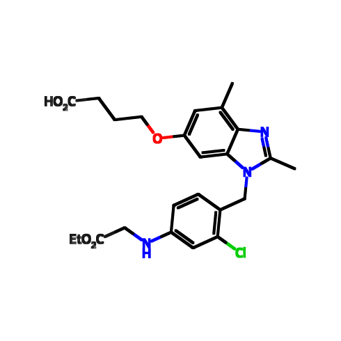 CCOC(=O)CNc1ccc(Cn2c(C)nc3c(C)cc(OCCCC(=O)O)cc32)c(Cl)c1